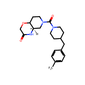 O=C1COC2CCN(C(=O)N3CCC(Cc4ccc(C(F)(F)F)cc4)CC3)C[C@H]2N1